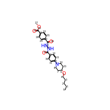 CCCCCOC1CCN(c2ccc(C(=O)NNC(=O)c3ccc(C(=O)OC)cc3)cc2)CC1